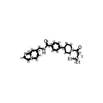 CCN(CC)[C@@H](C)C(=O)N1CCC(c2ccc(C(=O)NCc3ccn4ccnc4c3)cc2)CC1